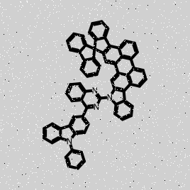 c1ccc(-n2c3ccccc3c3cc(-c4nc(-n5c6ccccc6c6c7cccc8c9cccc%10c%11c(cc(c(cc65)c87)c%109)C5(c6ccccc6-c6ccccc65)c5ccccc5-%11)nc5ccccc45)ccc32)cc1